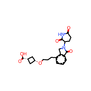 O=C1CCC(N2Cc3c(CCCO[C@H]4C[C@@H](C(=O)O)C4)cccc3C2=O)C(=O)N1